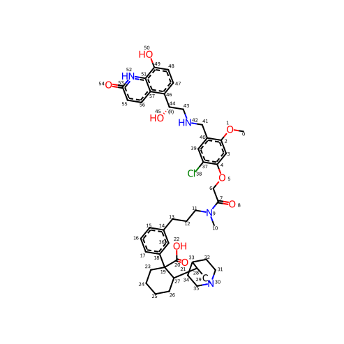 COc1cc(OCC(=O)N(C)CCCc2cccc(C3(C(=O)O)CCCCC3C3CN4CCC3CC4)c2)c(Cl)cc1CNC[C@H](O)c1ccc(O)c2[nH]c(=O)ccc12